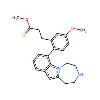 COC(=O)CCc1cc(OC)ccc1-c1cccc2cc3n(c12)CCNCC3